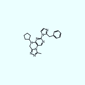 Cc1nnc2n1-c1cnc(-n3ccnc3Cc3ccccc3)nc1N(C1CCCC1)C2